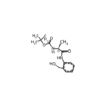 C[C@H](NC(=O)OC(C)(C)C)C(=O)Nc1ccccc1CO